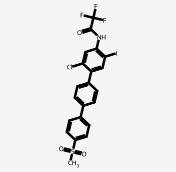 CS(=O)(=O)c1ccc(-c2ccc(-c3cc(I)c(NC(=O)C(F)(F)F)cc3Cl)cc2)cc1